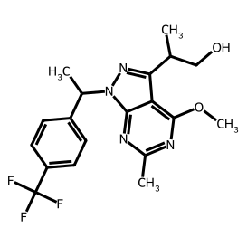 COc1nc(C)nc2c1c(C(C)CO)nn2C(C)c1ccc(C(F)(F)F)cc1